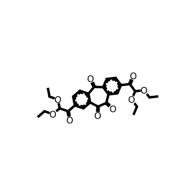 CCOC(OCC)C(=O)c1ccc2c(c1)C(=O)C(=O)c1cc(C(=O)C(OCC)OCC)ccc1C2=O